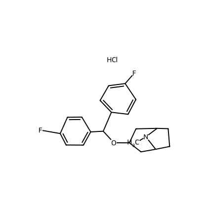 CN1C2CCC1CC(OC(c1ccc(F)cc1)c1ccc(F)cc1)C2.Cl